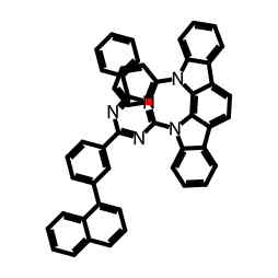 c1ccc(-c2nc(-c3cccc(-c4cccc5ccccc45)c3)nc(-n3c4ccccc4c4ccc5c6ccccc6n(-c6ccccc6)c5c43)n2)cc1